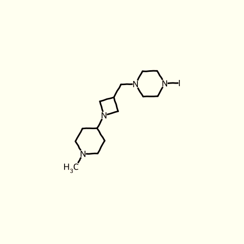 CN1CCC(N2CC(CN3CCN(I)CC3)C2)CC1